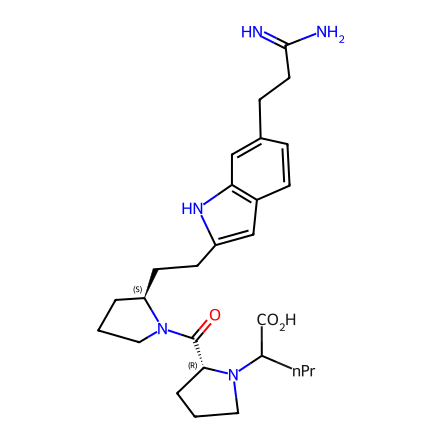 CCCC(C(=O)O)N1CCC[C@@H]1C(=O)N1CCC[C@H]1CCc1cc2ccc(CCC(=N)N)cc2[nH]1